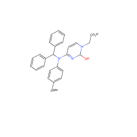 COc1ccc(N(C2=NC(O)N(CC(=O)O)C=C2)C(c2ccccc2)c2ccccc2)cc1